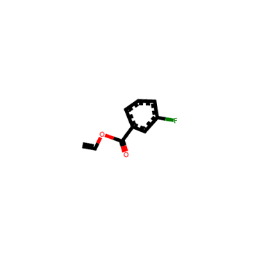 C=COC(=O)c1cccc(F)c1